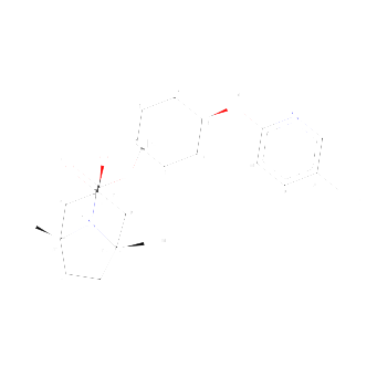 CC(C)(C)OC(=O)N1[C@@H]2CC[C@H]1C[C@H](O[C@H]1CC[C@H](Oc3ccc(C(F)(F)F)cn3)CC1)C2